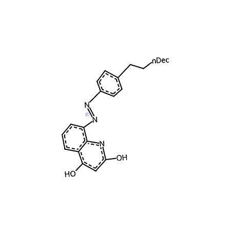 CCCCCCCCCCCCc1ccc(/N=N/c2cccc3c(O)cc(O)nc23)cc1